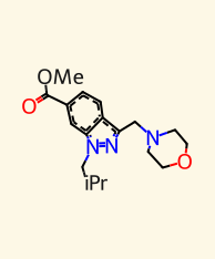 COC(=O)c1ccc2c(CN3CCOCC3)nn(CC(C)C)c2c1